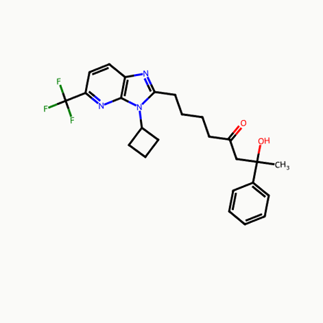 CC(O)(CC(=O)CCCCc1nc2ccc(C(F)(F)F)nc2n1C1CCC1)c1ccccc1